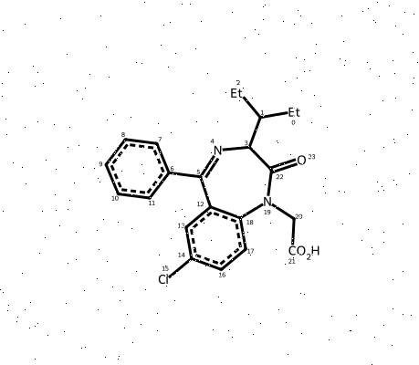 CCC(CC)C1N=C(c2ccccc2)c2cc(Cl)ccc2N(CC(=O)O)C1=O